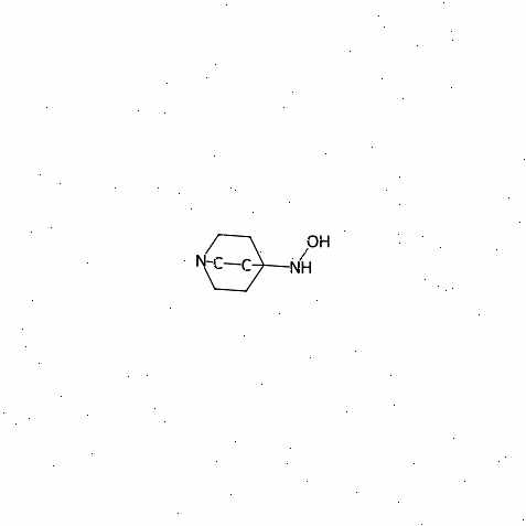 ONC12CCN(CC1)CC2